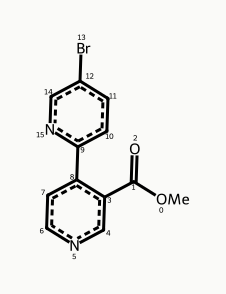 COC(=O)c1cnccc1-c1ccc(Br)cn1